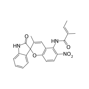 CC=C(C)C(=O)Nc1c([N+](=O)[O-])ccc2c1C=C(C)C1(O2)C(=O)Nc2ccccc21